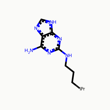 CC(C)CCCNc1nc(N)c2nc[nH]c2n1